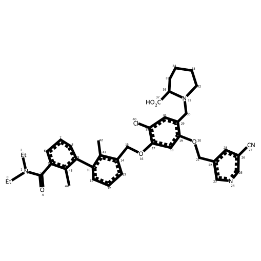 CCN(CC)C(=O)c1cccc(-c2cccc(COc3cc(OCc4cncc(C#N)c4)c(CN4CCCCC4C(=O)O)cc3Cl)c2C)c1C